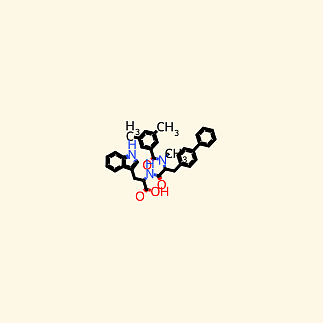 Cc1cc(C)cc(C(=O)N(C)C(Cc2ccc(-c3ccccc3)cc2)C(=O)NC(Cc2c[nH]c3ccccc23)C(=O)O)c1